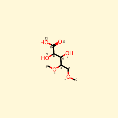 COCC(OC)C(O)C(O)C(=O)O